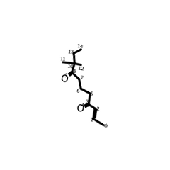 C/C=C/C(=O)CCCC(=O)C(C)(C)CC